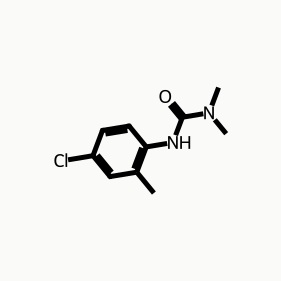 Cc1cc(Cl)ccc1NC(=O)N(C)C